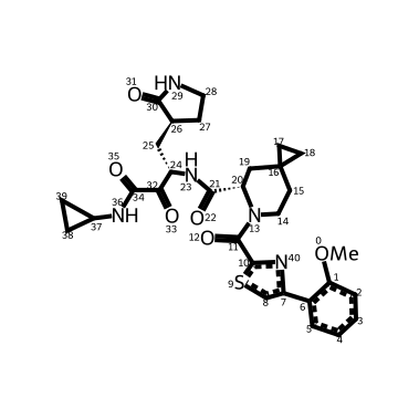 COc1ccccc1-c1csc(C(=O)N2CCC3(CC3)C[C@H]2C(=O)N[C@@H](C[C@@H]2CCNC2=O)C(=O)C(=O)NC2CC2)n1